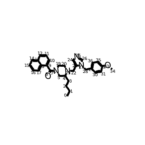 CCCCC1CN(C(=O)c2cccc3ccccc23)CCN1Cc1cncn1Cc1ccc(OC)cc1